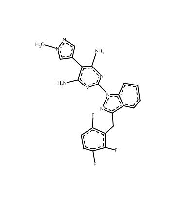 Cn1cc(-c2c(N)nc(-n3nc(Cc4c(F)ccc(F)c4F)c4ccccc43)nc2N)cn1